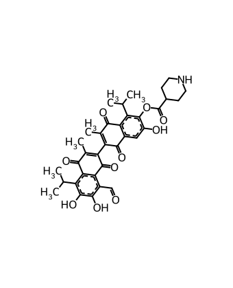 CC1=C(C2=C(C)C(=O)c3c(c(C=O)c(O)c(O)c3C(C)C)C2=O)C(=O)c2cc(O)c(OC(=O)C3CCNCC3)c(C(C)C)c2C1=O